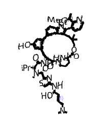 CCn1c(-c2cccnc2[C@H](C)OC)c2c3cc(ccc31)-c1cc(O)cc(c1)C[C@H](NC(=O)[C@H](C(C)C)N(C)C(=O)c1nc(NC(O)/C=C/CN(C)C)cs1)C(=O)N1CCC[C@H](N1)C(=O)OCC(C)(C)C2